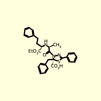 CCOC(=O)[C@H](CCc1ccccc1)N[C@@H](C)C(=O)N1N=C(c2ccccc2)S[C@]1(Cc1ccccc1)C(=O)O